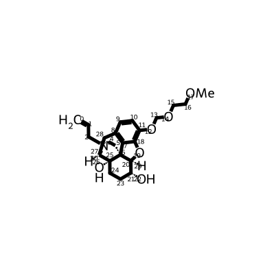 C=CCN1CC[C@]23c4c5ccc(OCOCCOC)c4O[C@H]2[C@H](O)CC[C@@]3(O)[C@H]1C5